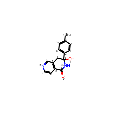 CC(C)(C)c1ccc(C2(O)Cc3cnccc3C(=O)N2)cc1